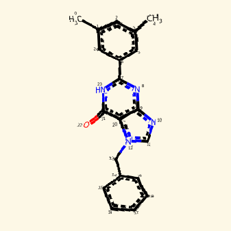 Cc1cc(C)cc(-c2nc3ncn(Cc4ccccc4)c3c(=O)[nH]2)c1